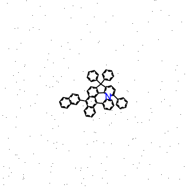 c1ccc(-c2ccc3c(n2)-c2c(ccc4c(-c5ccc6ccccc6c5)c5ccccc5c(-c5ccccc5)c24)C3(c2ccccc2)c2ccccc2)cc1